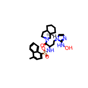 Cc1ccc(S(=O)(=O)NC(CCn2ccnc2NO)C(=O)N2CCC3CCCC[C@@H]3C2)c2ccccc12